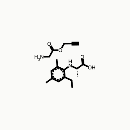 C#CCOC(=O)CN.CCc1cc(C)cc(C)c1N[C@@H](C)C(=O)O